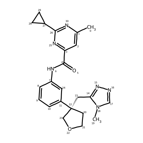 Cc1cc(C(=O)Nc2cccc([C@@]3(Cc4nncn4C)CCOC3)c2)nc(C2CC2)n1